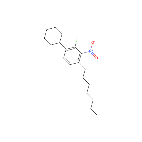 CCCCCCCc1ccc(C2CCCCC2)c(F)c1[N+](=O)[O-]